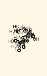 N=C(N)NCCC[C@H](NC(=O)CNC(=O)[C@H](Cc1ccc(O)cc1)NC(=O)[C@H](CCCCN)NC(=O)[C@@H]1CCCN1C(=O)[C@H](Cc1ccccc1)NC(=O)[C@H](Cc1ccc(O)cc1)NC(=O)[C@@H](N)Cc1ccccc1)C(=O)O